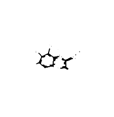 O=c1[nH]c2cc(Br)c(Br)c([N+](=O)[O-])c2[nH]/c1=N\O